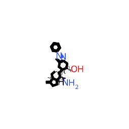 C=C1CC[C@H]2[C@H](CN)[C@@H]([C@@]3(C)Cc4cn(-c5ccccc5)nc4C[C@@H]3CO)CC[C@]12C